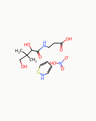 C1=CNSC=C1.CC(C)(CO)C(O)C(=O)NCCC(=O)O.O=[N+]([O-])O